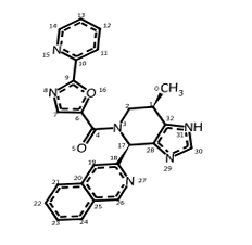 C[C@@H]1CN(C(=O)c2cnc(-c3ccccn3)o2)[C@H](c2cc3ccccc3cn2)c2nc[nH]c21